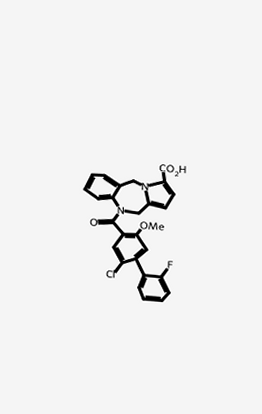 COc1cc(-c2ccccc2F)c(Cl)cc1C(=O)N1Cc2ccc(C(=O)O)n2Cc2ccccc21